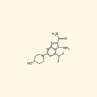 NC(=O)c1sc2nc(N3CCC(O)CC3)cc(C(F)F)c2c1N